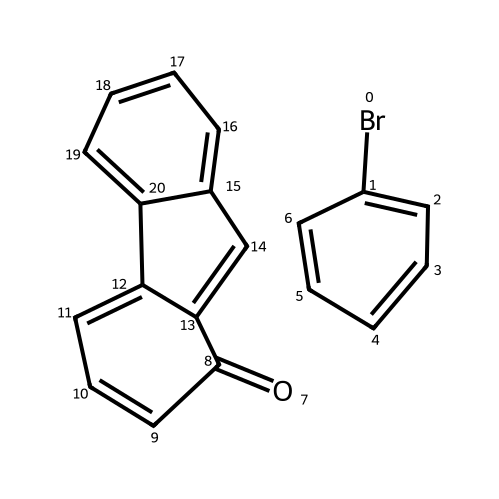 Brc1ccccc1.O=C1C=CC=C2C1=Cc1ccccc12